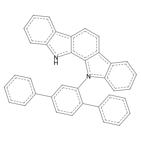 c1ccc(-c2ccc(-c3ccccc3)c(-n3c4ccccc4c4ccc5c6ccccc6[nH]c5c43)c2)cc1